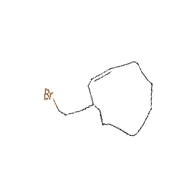 BrCC1C=CCCCCC1